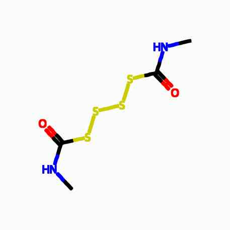 CNC(=O)SSSSC(=O)NC